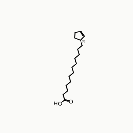 O=C(O)CCCCCCCCCCCC[C@@H]1C=CCC1